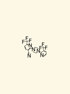 N#Cc1ccc(C(F)(F)F)nc1N1CCN(c2ncccc2C(F)(F)F)CC1